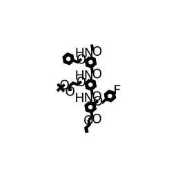 C=CCOC(=O)c1ccc(NC(=O)c2ccc(NC(=O)c3ccc(NC(C)=O)c(OCc4ccccc4)c3)c(OCCC(=O)OC(C)(C)C)c2)c(OCc2ccc(F)cc2)c1